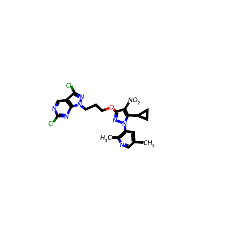 Cc1cnc(C)c(-n2nc(OCCCn3nc(Cl)c4cnc(Cl)nc43)c([N+](=O)[O-])c2C2CC2)c1